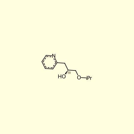 CC(C)OC[C@@H](O)Cc1ccccn1